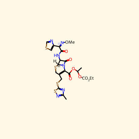 CCOC(=O)OC(C)OC(=O)C1=C(CSc2nc(C)ns2)CS[C@@H]2C(NC(=O)/C(=N\OC)c3cscn3)C(=O)N12